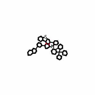 c1ccc(C2(c3ccccc3)c3ccccc3-c3c(N(c4ccc(-c5cccc(-c6ccc7ccccc7c6)c5)cc4)c4ccccc4-c4ccc5c(c4)sc4ccccc45)cccc32)cc1